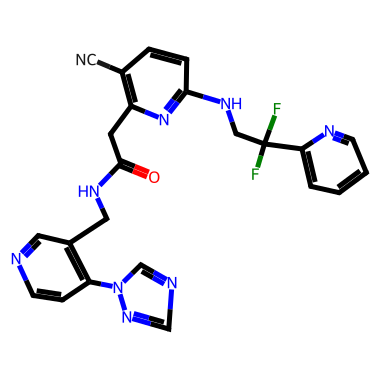 N#Cc1ccc(NCC(F)(F)c2ccccn2)nc1CC(=O)NCc1cnccc1-n1cncn1